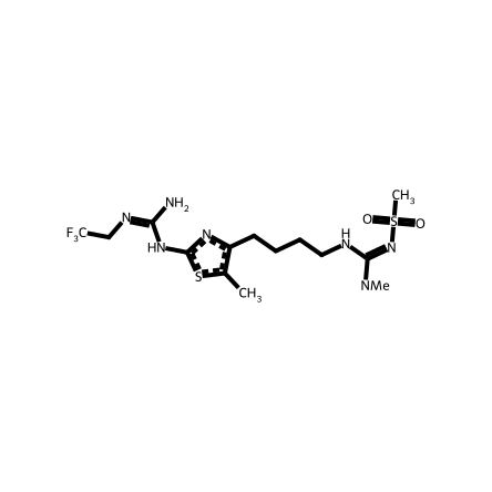 CN/C(=N/S(C)(=O)=O)NCCCCc1nc(N/C(N)=N\CC(F)(F)F)sc1C